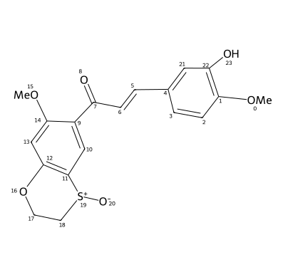 COc1ccc(/C=C/C(=O)c2cc3c(cc2OC)OCC[S+]3[O-])cc1O